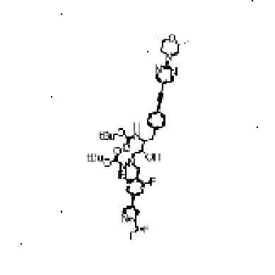 C[C@@H]1CN(c2ncc(C#Cc3ccc(C[C@H](NC(=O)OC(C)(C)C)[C@@H](O)CN(Cc4c(F)cc(-c5cnn(C(F)F)c5)cc4F)NC(=O)OC(C)(C)C)cc3)cn2)C[C@H](C)O1